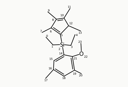 CC[Si](CC)(C1=C(C)C(C)=C(C)C1C)c1cc(C)cc(C)c1OC